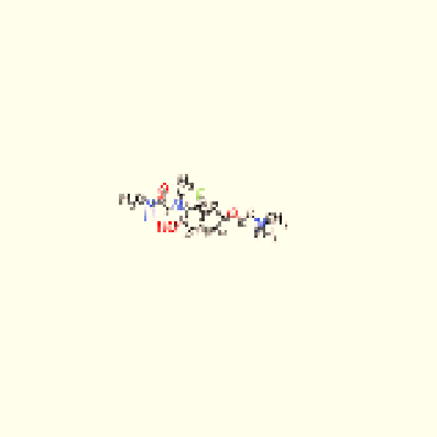 CNC(=O)CN(C)c1c(O)cc2ccc(OCCN(C)C)cc2c1F